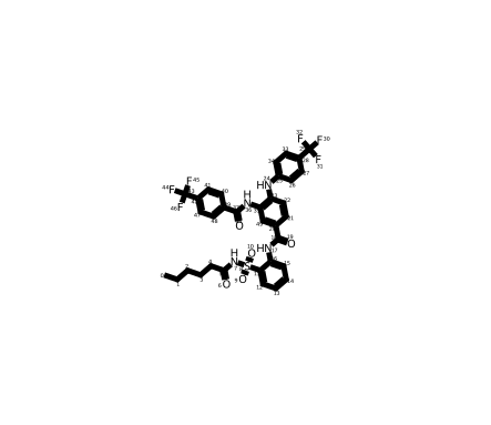 CCCCCC(=O)NS(=O)(=O)c1ccccc1NC(=O)c1ccc(Nc2ccc(C(F)(F)F)cc2)c(NC(=O)c2ccc(C(F)(F)F)cc2)c1